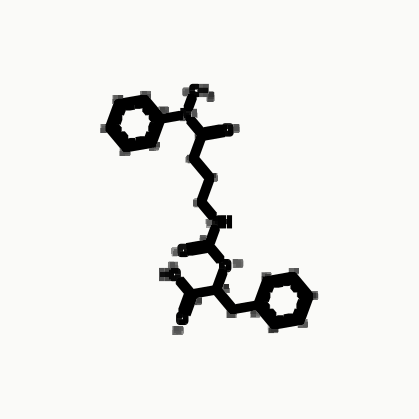 CN(C(=O)CCCNC(=O)OC(Cc1ccccc1)C(=O)O)c1ccccc1